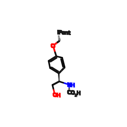 CCC[C@@H](C)COc1ccc(C(CO)NC(=O)O)cc1